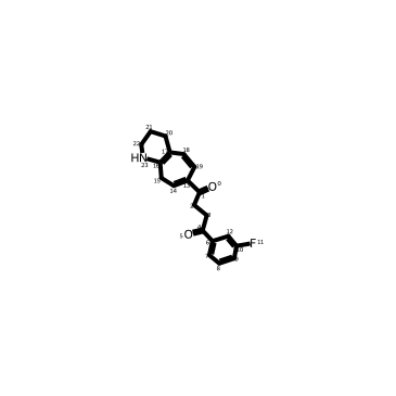 O=C(CCC(=O)c1cccc(F)c1)C1=CCC2=C(C=C1)CCCN2